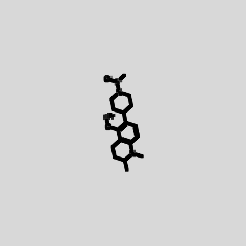 CCCOc1c(C2CCN([S+](C)[O-])CC2)ccc2c1CCC(C)N2C